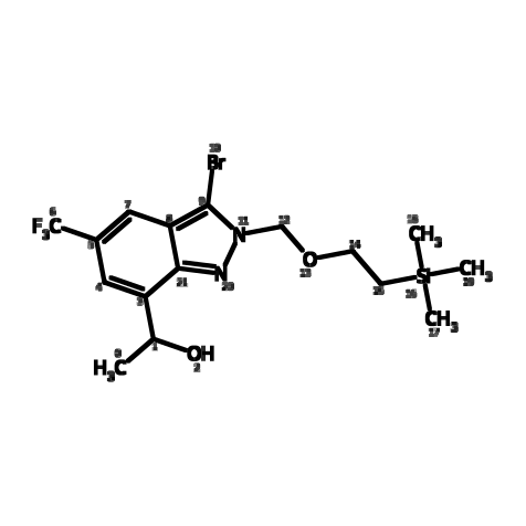 CC(O)c1cc(C(F)(F)F)cc2c(Br)n(COCC[Si](C)(C)C)nc12